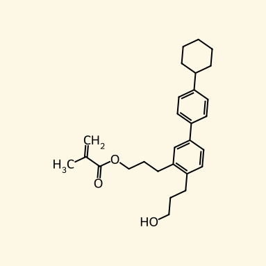 C=C(C)C(=O)OCCCc1cc(-c2ccc(C3CCCCC3)cc2)ccc1CCCO